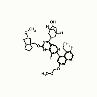 CCc1c(F)ccc2cc(OCOC)cc(-c3ncc4c(N5C[C@@H]6C[C@H](C5)[C@H](O)C6)nc(OC[C@@]56CCCN5C[C@@H](OC)C6)nc4c3F)c12